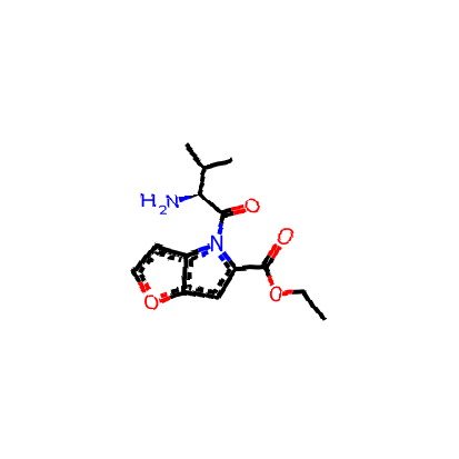 CCOC(=O)c1cc2occc2n1C(=O)[C@@H](N)C(C)C